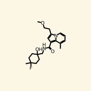 COCCc1cc(C(=O)NCC2(O)CCC(C)(F)CC2)c2c(C)cccn12